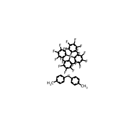 Cc1ccc([I+]c2ccc(C)cc2)cc1.Fc1c(F)c(F)c([B-](c2c(F)c(F)c(F)c(F)c2F)(c2c(F)c(F)c(F)c(F)c2F)c2c(F)c(F)c(F)c(F)c2F)c(F)c1F